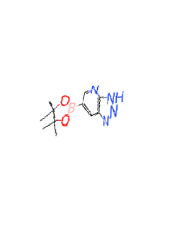 CC1(C)OB(c2cnc3[nH]nnc3c2)OC1(C)C